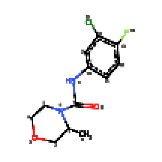 CC1COCCN1C(=O)Nc1ccc(F)c(Cl)c1